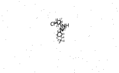 CC(C)(C)Cc1cccc(N2CCNC(c3cccc(Cl)c3)C2)c1